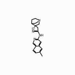 Cc1ccc2cnc(NC3=NOC4(C3)CN3CCC4CC3)cc2c1